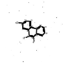 Fc1[c]c2c(F)c(F)c3c[c]ccc3c2cc1